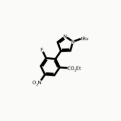 CCOC(=O)c1cc([N+](=O)[O-])cc(F)c1-c1cnn(C(C)(C)C)c1